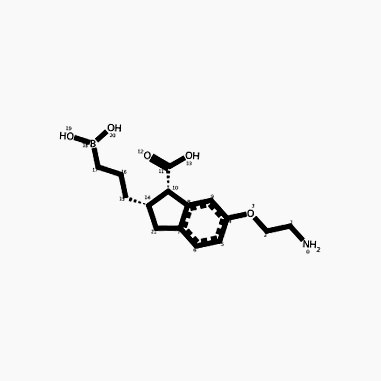 NCCOc1ccc2c(c1)[C@@H](C(=O)O)[C@@H](CCCB(O)O)C2